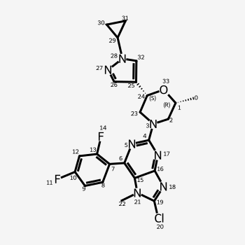 C[C@@H]1CN(c2nc(-c3ccc(F)cc3F)c3c(n2)nc(Cl)n3C)C[C@H](c2cnn(C3CC3)c2)O1